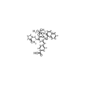 CN1CCCC1CCN(CC(=Cc1ccc(C(=O)O)cc1)COc1cccc2ccccc12)C(=O)OC(C)(C)C